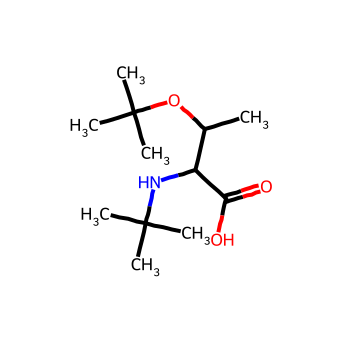 CC(OC(C)(C)C)C(NC(C)(C)C)C(=O)O